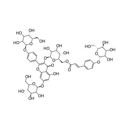 O=C(/C=C/c1ccc(O[C@@H]2O[C@H](CO)[C@@H](O)C(O)C2O)cc1)OC[C@H]1O[C@@H](Oc2c(-c3ccc(O[C@@H]4O[C@H](CO)[C@@H](O)C(O)C4O)cc3)oc3cc(O[C@@H]4OC(CO)[C@@H](O)[C@H](O)C4O)cc(O)c3c2=O)C(O)C(O)[C@@H]1O